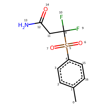 Cc1ccc(S(=O)(=O)C(F)(F)CC(N)=O)cc1